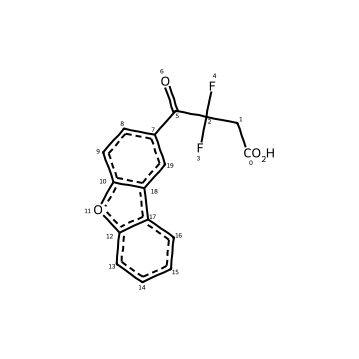 O=C(O)CC(F)(F)C(=O)c1ccc2oc3ccccc3c2c1